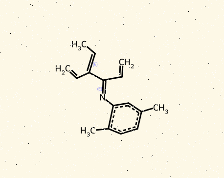 C=CC(=C\C)/C(C=C)=N/c1cc(C)ccc1C